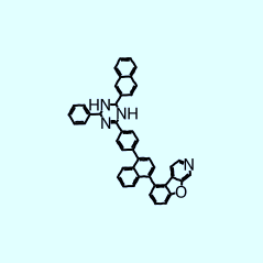 c1ccc(C2N=C(c3ccc(-c4ccc(-c5cccc6oc7cnccc7c56)c5ccccc45)cc3)NC(c3ccc4ccccc4c3)N2)cc1